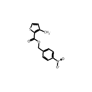 [CH2]c1ccsc1C(=O)OCc1ccc([N+](=O)[O-])cc1